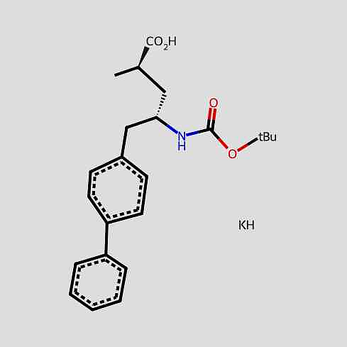 C[C@H](C[C@@H](Cc1ccc(-c2ccccc2)cc1)NC(=O)OC(C)(C)C)C(=O)O.[KH]